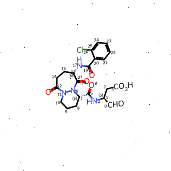 O=C[C@H](CC(=O)O)NC(=O)[C@@H]1CCCN2C(=O)CC[C@H](NC(=O)c3ccccc3Cl)C(=O)N12